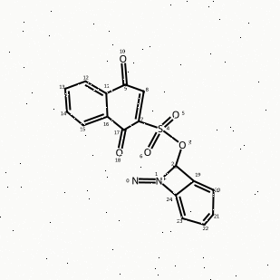 [N-]=[N+]1[C](OS(=O)(=O)C2=CC(=O)c3ccccc3C2=O)c2ccccc21